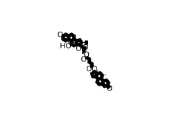 C#C[C@H]1CC2C3CCC4=CC(=O)C=C[C@]4(C)[C@@]3(F)[C@@H](O)C[C@]2(C)[C@@]1(O)C1OC1COC(=O)CCCC(=O)O[C@H]1CCC2C3CCC4=CC(=O)CCC4C3[C@@H](C)C[C@@]21C